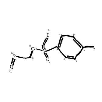 Cc1ccc(S(=O)(=O)OCP=O)cc1